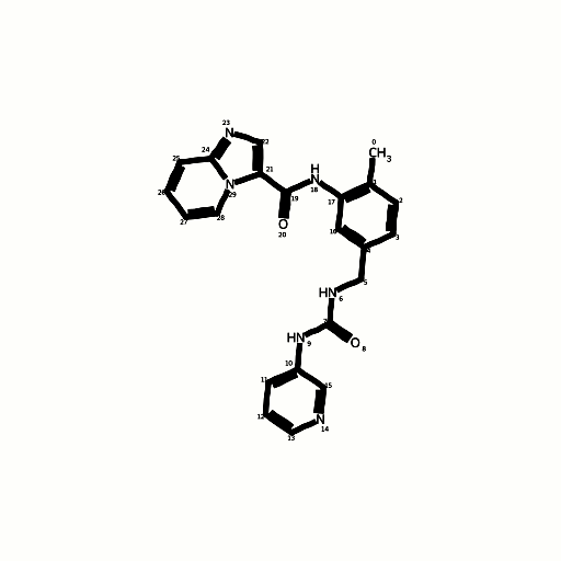 Cc1ccc(CNC(=O)Nc2cccnc2)cc1NC(=O)c1cnc2ccccn12